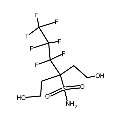 NS(=O)(=O)C(CCO)(CCO)C(F)(F)C(F)(F)C(F)(F)F